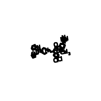 COc1ccc(-n2cnnn2)cc1C(=O)N(C)CC(CCN1CCCN(c2nc3ccccc3n2Cc2ccco2)CC1)c1ccc(Cl)c(Cl)c1